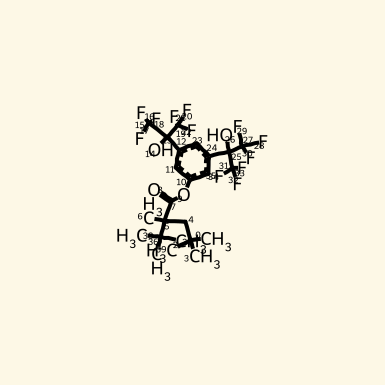 CC(C)(C)CC(C)(C(=O)Oc1cc(C(O)(C(F)(F)F)C(F)(F)F)cc(C(O)(C(F)(F)F)C(F)(F)F)c1)C(C)(C)C